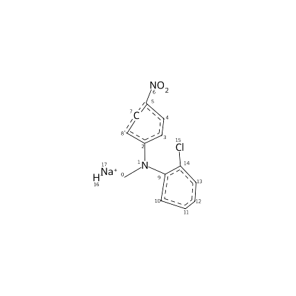 CN(c1ccc([N+](=O)[O-])cc1)c1ccccc1Cl.[H-].[Na+]